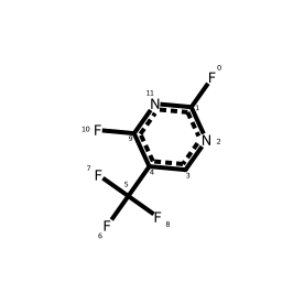 Fc1ncc(C(F)(F)F)c(F)n1